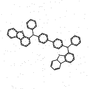 C1=CC2Sc3c(cccc3N(c3ccccc3)c3ccc(-c4ccc(N(c5ccccc5)c5cccc6c5sc5ccccc56)cc4)cc3)C2C=C1